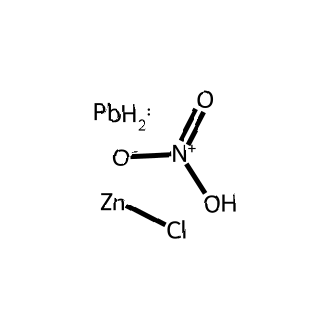 O=[N+]([O-])O.[Cl][Zn].[PbH2]